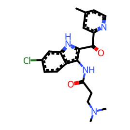 Cc1ccnc(C(=O)c2[nH]c3cc(Cl)ccc3c2NC(=O)CCN(C)C)c1